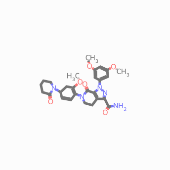 COC1=C(N2CCc3c(C(N)=O)nn(-c4cc(OC)cc(OC)c4)c3C2=O)C=CC(N2CCCCC2=O)C1